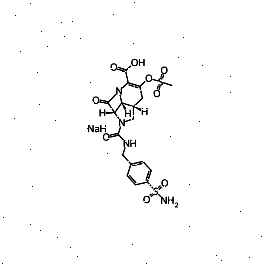 CS(=O)(=O)OC1=C(C(=O)O)N2C(=O)[C@@H]3[C@H]2[C@H](C1)CN3C(=O)NCc1ccc(S(N)(=O)=O)cc1.[NaH]